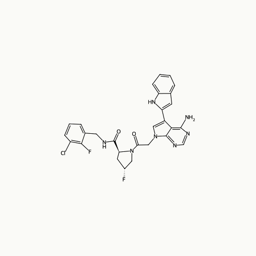 Nc1ncnc2c1c(-c1cc3ccccc3[nH]1)cn2CC(=O)N1C[C@H](F)C[C@H]1C(=O)NCc1cccc(Cl)c1F